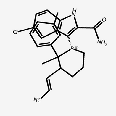 Cc1cccc(C2(C)C(C=CC#N)CCC[P@@]2c2c(C(N)=O)[nH]c3ccc(Cl)cc23)c1